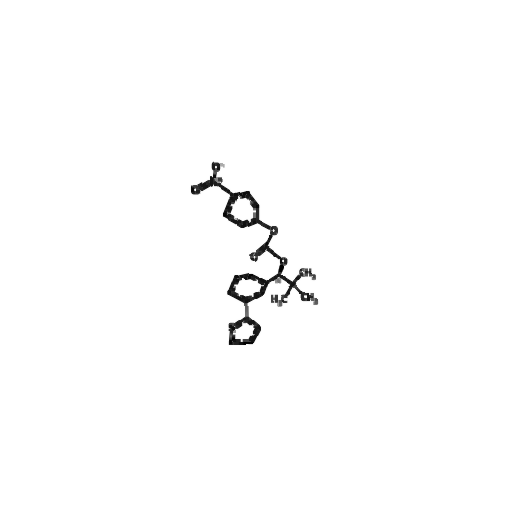 CC(C)(C)[C@H](OC(=O)Oc1ccc([N+](=O)[O-])cc1)c1cccc(-c2cccs2)c1